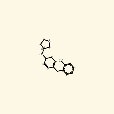 Clc1ccccc1CC1=CCC(O[C@H]2CCOC2)C=C1